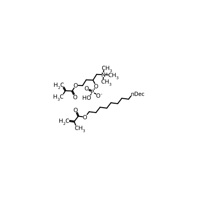 C=C(C)C(=O)OCCC(C[N+](C)(C)C)OP(=O)([O-])O.C=C(C)C(=O)OCCCCCCCCCCCCCCCCCC